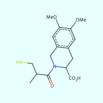 COc1cc2c(cc1OC)CN(C(=O)C(C)CS)C(C(=O)O)C2